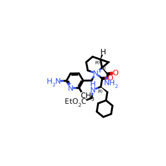 CCOC(=O)CN[C@H](CC1CCCCC1)C(=O)[N+]1(Cc2ccc(N)nc2C)CCC[C@@H]2C[C@@]21C(N)=O